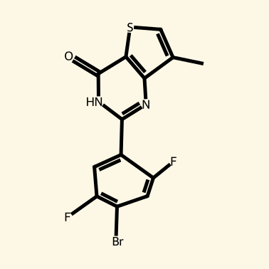 Cc1csc2c(=O)[nH]c(-c3cc(F)c(Br)cc3F)nc12